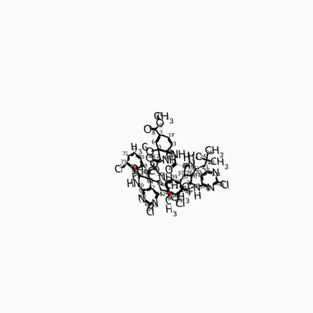 COCC1(OC)C=C(C(=O)OC)C=CC1(NC(=O)[C@@H]1N[C@@H](CC(C)(C)C)[C@@]2(C(=O)Nc3nc(Cl)ncc32)[C@H]1c1cccc(Cl)c1F)NC(=O)[C@@H]1N[C@@H](CC(C)(C)C)[C@]2(C(=O)Nc3nc(Cl)ncc32)[C@H]1c1cccc(Cl)c1F